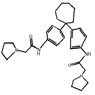 O=C(CN1CCCC1)Nc1ccc(C2(c3ccc(NC(=O)CN4CCCC4)cc3)CCCCCC2)cc1